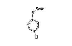 CSSc1ccc(Cl)cc1